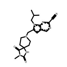 CC(C)Cn1c(CN2CCC3(CC2)NC(=O)N(C)C3=O)cc2cnc(C#N)nc21